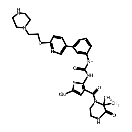 CC(C)(C)c1cc(C(=O)N2CCNC(=O)C2(C)C)c(NC(=O)Nc2cccc(-c3ccc(OCCN4CCNCC4)nc3)c2)s1